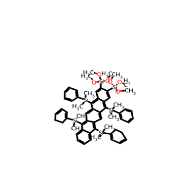 CO[Si](OC)(OC)c1cc2c([Si](C)(C)c3ccccc3)c3cc4c([Si](C)(C)C5=CC=CCC5)c5ccccc5c([Si](C)(C)C5=CC=CCC5)c4cc3c([Si](C)(C)c3ccccc3)c2cc1[Si](OC)(OC)OC